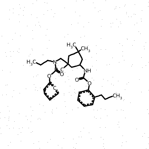 CCCc1ccccc1OC(=O)NC1CC(C)(C)CC(C)(CN(CCC)C(=O)Oc2ccccc2)C1